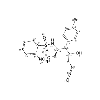 [N-]=[N+]=NC[C@@H](O)[C@@H](c1ccc(Br)cc1)[C@@H](CO)NS(=O)(=O)c1ccccc1[N+](=O)[O-]